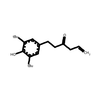 C=CCC(=O)CCc1cc(C(C)(C)C)c(O)c(C(C)(C)C)c1